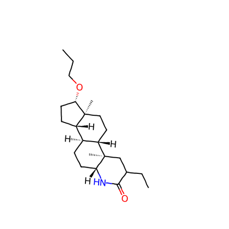 CCCO[C@H]1CC[C@H]2[C@@H]3CC[C@H]4NC(=O)C(CC)C[C@]4(C)[C@H]3CC[C@]12C